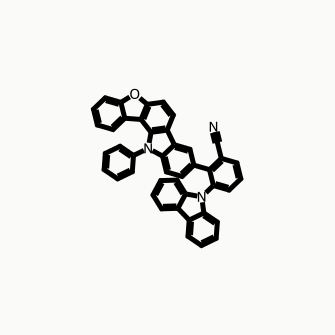 N#Cc1cccc(-n2c3ccccc3c3ccccc32)c1-c1ccc2c(c1)c1ccc3oc4ccccc4c3c1n2-c1ccccc1